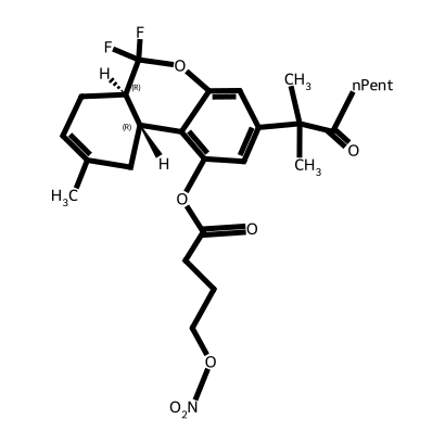 CCCCCC(=O)C(C)(C)c1cc(OC(=O)CCCO[N+](=O)[O-])c2c(c1)OC(F)(F)[C@@H]1CC=C(C)C[C@@H]21